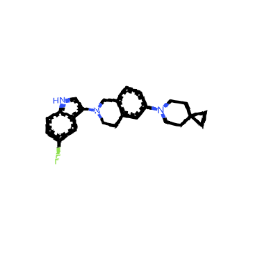 Fc1ccc2[nH]cc(N3CCc4cc(N5CCC6(CC5)CC6)ccc4C3)c2c1